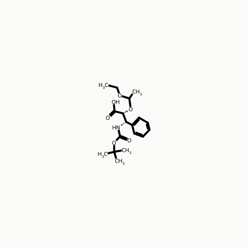 CCOC(C)O[C@@H](C(=O)O)[C@@H](NC(=O)OC(C)(C)C)c1ccccc1